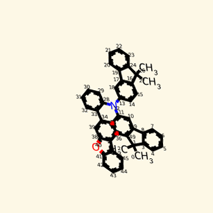 CC1(C)c2ccccc2-c2cc(N(c3ccc4c(c3)-c3ccccc3C4(C)C)c3ccccc3-c3ccc4c(c3)oc3ccccc34)ccc21